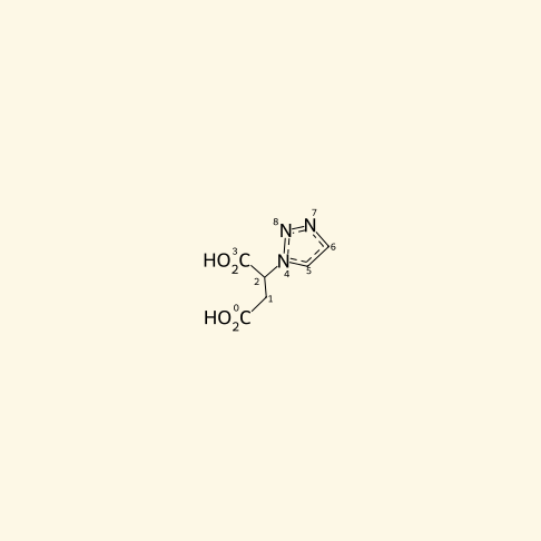 O=C(O)CC(C(=O)O)n1ccnn1